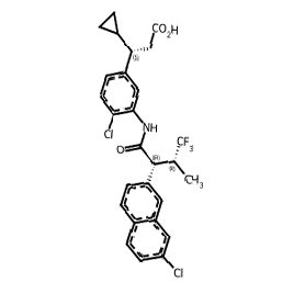 C[C@H]([C@@H](C(=O)Nc1cc([C@@H](CC(=O)O)C2CC2)ccc1Cl)c1ccc2ccc(Cl)cc2c1)C(F)(F)F